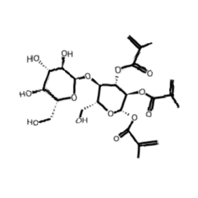 C=C(C)C(=O)O[C@@H]1O[C@H](CO)[C@@H](O[C@H]2O[C@H](CO)[C@@H](O)[C@H](O)[C@H]2O)[C@H](OC(=O)C(=C)C)[C@H]1OC(=O)C(=C)C